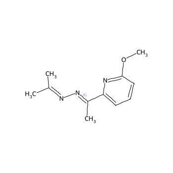 COc1cccc(/C(C)=N/N=C(C)C)n1